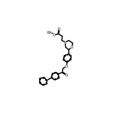 CC(C)(C)OC(=O)CCN1CCOC(c2ccc(OCC(=O)c3ccc(-c4ccccc4)cc3)cc2)C1